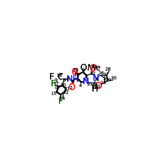 COc1c2n(cc(C(=O)N[C@@H](c3ccc(F)cc3F)C(F)(F)F)c1=O)C[C@@H]1OC3CC([C@@H](C)[C@H]3C)N1C2=O